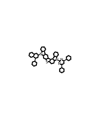 c1ccc(-c2cc(-c3ccccc3)nc(-n3c4ccccc4c4c5c(ccc43)sc3cc4c(cc35)c3ccccc3n4-c3cc(-c4ccccc4)c4ccccc4c3)n2)cc1